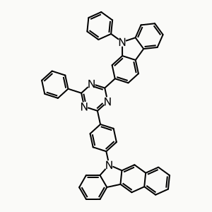 c1ccc(-c2nc(-c3ccc(-n4c5ccccc5c5cc6ccccc6cc54)cc3)nc(-c3ccc4c5ccccc5n(-c5ccccc5)c4c3)n2)cc1